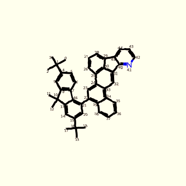 CC(C)(C)c1ccc2c(c1)C(C)(C)c1cc(C(C)(C)C)cc(-c3cc4c5cccc6c5c(cc4c4ccccc34)-c3ncccc3-6)c1-2